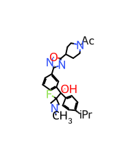 CC(=O)N1CCC(c2nc(-c3cccc([C@@](O)(c4ccc(C(C)C)cc4)C4(F)CN(C)C4)c3)no2)CC1